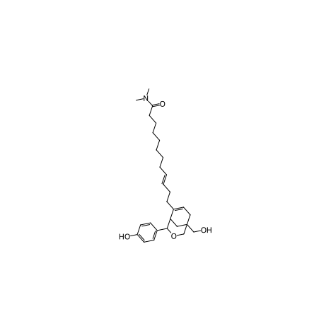 CN(C)C(=O)CCCCCCC/C=C/CCC1=CCC2(CO)COC(c3ccc(O)cc3)C1C2